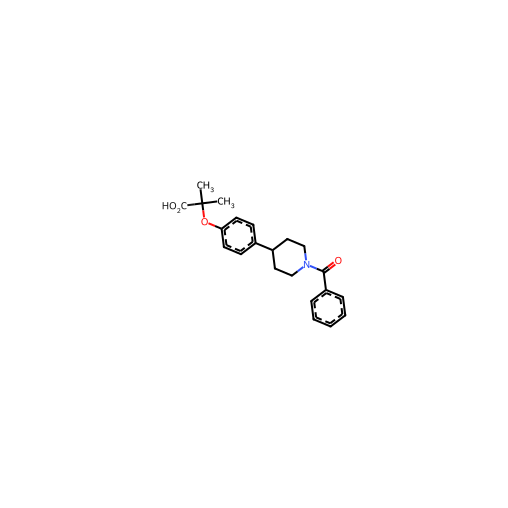 CC(C)(Oc1ccc(C2CCN(C(=O)c3ccccc3)CC2)cc1)C(=O)O